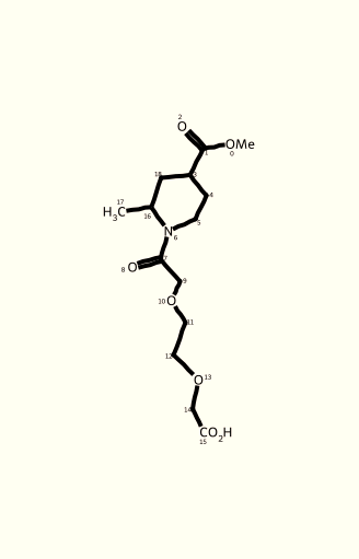 COC(=O)C1CCN(C(=O)COCCOCC(=O)O)C(C)C1